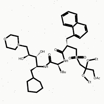 CCCC[C@H](NC(=O)[C@H](Cc1cccc2ccccc12)CS(=O)(=O)CC(COC(C)=O)(OCC)OCC)C(=O)N[C@@H](CC1CCCCC1)[C@@H](O)[C@@H](O)CN1CCOCC1